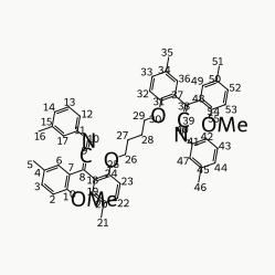 COc1ccc(C)cc1C(=C=Nc1cccc(C)c1)c1cc(C)ccc1OCCCCOc1ccc(C)cc1C(=C=Nc1cccc(C)c1)c1cc(C)ccc1OC